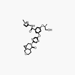 C[C@@H](CO)Oc1cc(Oc2cnc(N(CC3CC3)C(=O)C3CCOCC3)cn2)cc(C(=O)Nc2ccn(C)n2)c1